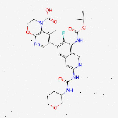 Cc1c(-c2cc3cc(NC(=O)NC4CCCOC4)ncc3c(NC(=O)OC(C)(C)C)c2F)cnc2c1N(C(=O)O)CCO2